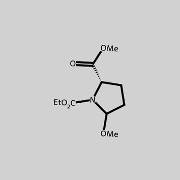 CCOC(=O)N1C(OC)CC[C@H]1C(=O)OC